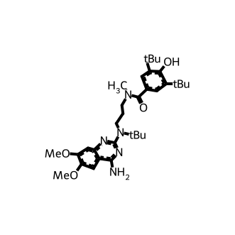 COc1cc2nc(N(CCCN(C)C(=O)c3cc(C(C)(C)C)c(O)c(C(C)(C)C)c3)C(C)(C)C)nc(N)c2cc1OC